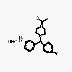 CC(O)N1CCN(C(c2ccccc2)c2ccc(Cl)cc2)CC1.Cl.Cl.O